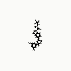 CC1(c2cc(Cl)cc(Cl)c2)CC(c2ccc3c(c2)CCN3C(=O)NCC(F)(F)F)=NO1